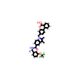 Cc1c(C)n(Cc2ccc(-c3ccccc3C(=O)O)cc2)c2ccc(C(=O)N[C@@H](C)c3cccc(OC(F)(F)F)c3)cc12